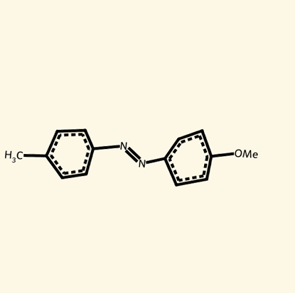 COc1ccc(N=Nc2ccc(C)cc2)cc1